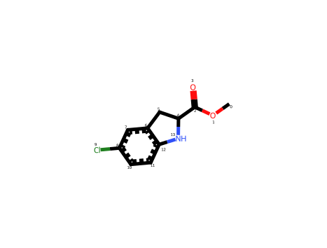 COC(=O)C1Cc2cc(Cl)ccc2N1